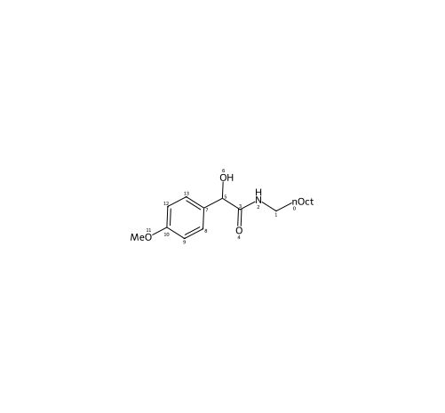 CCCCCCCCCNC(=O)C(O)c1ccc(OC)cc1